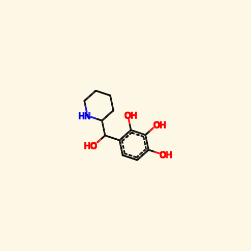 Oc1ccc(C(O)C2CCCCN2)c(O)c1O